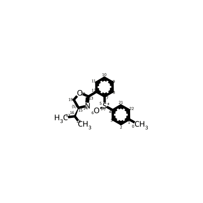 Cc1ccc([S@+]([O-])c2ccccc2C2=N[C@@H](C(C)C)CO2)cc1